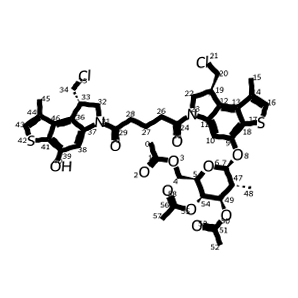 CC(=O)OC[C@H]1O[C@@H](Oc2cc3c(c4c(C)csc24)[C@H](CCl)CN3C(=O)CCCC(=O)N2C[C@@H](CCl)c3c2cc(O)c2scc(C)c32)[C@H](C)[C@@H](OC(C)=O)[C@@H]1OC(C)=O